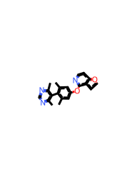 Cc1cc(Oc2nccc3occc23)cc(C)c1-c1c(C)ncnc1C